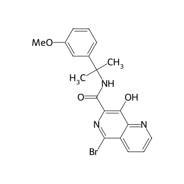 COc1cccc(C(C)(C)NC(=O)c2nc(Br)c3cccnc3c2O)c1